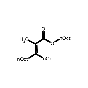 CCCCCCCCOC(=O)C(C)=C(CCCCCCCC)CCCCCCCC